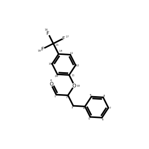 O=CC(Cc1ccccc1)Oc1ccc(C(F)(F)F)cc1